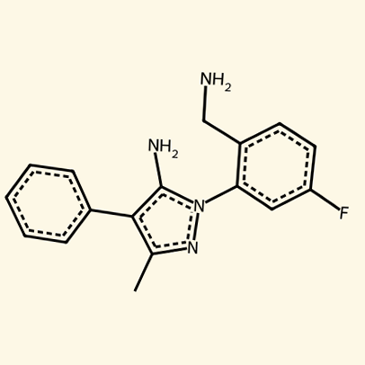 Cc1nn(-c2cc(F)ccc2CN)c(N)c1-c1ccccc1